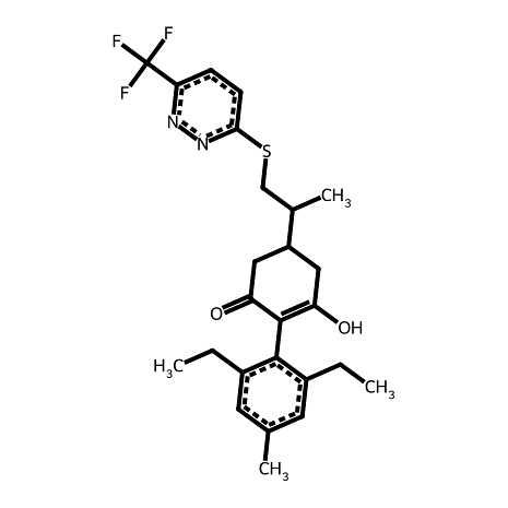 CCc1cc(C)cc(CC)c1C1=C(O)CC(C(C)CSc2ccc(C(F)(F)F)nn2)CC1=O